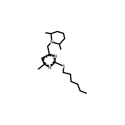 CCCCCCSc1nc(C)cc(CN2C(C)CCCC2C)n1